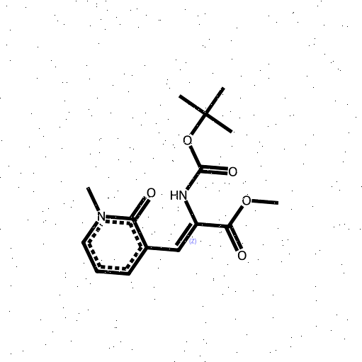 COC(=O)/C(=C/c1cccn(C)c1=O)NC(=O)OC(C)(C)C